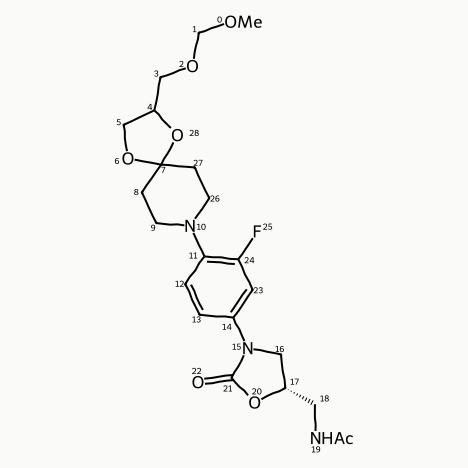 COCOCC1COC2(CCN(c3ccc(N4C[C@H](CNC(C)=O)OC4=O)cc3F)CC2)O1